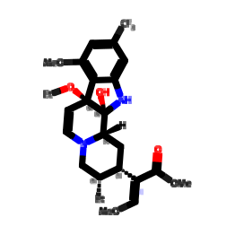 CCO[C@]12C=CN3C[C@@H](CC)[C@@H](/C(=C\OC)C(=O)OC)C[C@H]3[C@@]1(O)Nc1cc(C(F)(F)F)cc(OC)c12